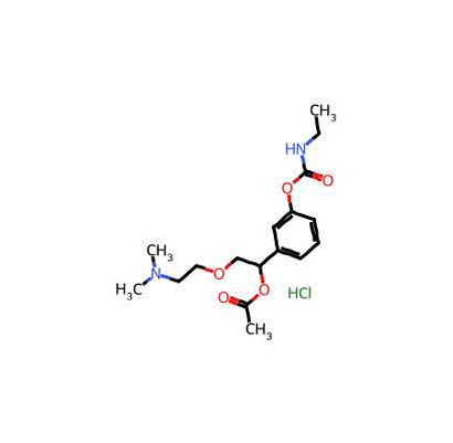 CCNC(=O)Oc1cccc(C(COCCN(C)C)OC(C)=O)c1.Cl